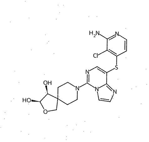 Nc1nccc(Sc2cnc(N3CCC4(CC3)CO[C@@H](O)[C@H]4O)n3ccnc23)c1Cl